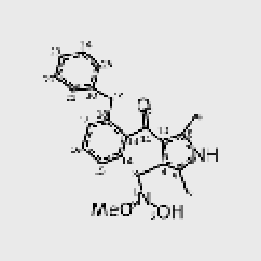 CON(O)Cc1c(C)[nH]c(C)c1C(=O)c1ccccc1Cc1ccccc1